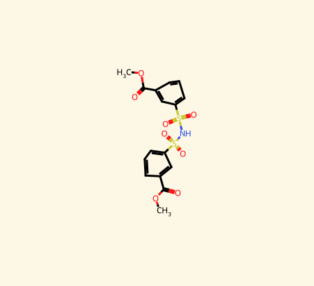 COC(=O)c1cccc(S(=O)(=O)NS(=O)(=O)c2cccc(C(=O)OC)c2)c1